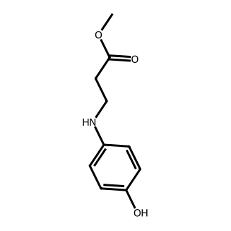 COC(=O)CCNc1ccc(O)cc1